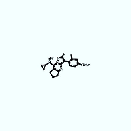 CCCN(c1c2c(nc3c(-c4ccc(OC)cc4C)c(C)nn13)CCC2)C1CC1